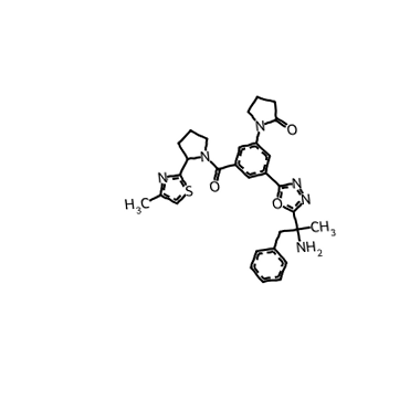 Cc1csc(C2CCCN2C(=O)c2cc(-c3nnc(C(C)(N)Cc4ccccc4)o3)cc(N3CCCC3=O)c2)n1